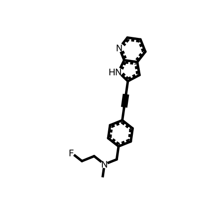 CN(CCF)Cc1ccc(C#Cc2cc3cccnc3[nH]2)cc1